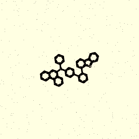 c1ccc(N(c2ccc(-c3ccccc3-c3cccc4c3oc3ccccc34)cc2)c2cc3ccccc3c3ccccc23)cc1